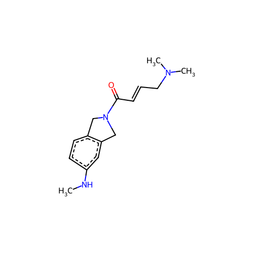 CNc1ccc2c(c1)CN(C(=O)C=CCN(C)C)C2